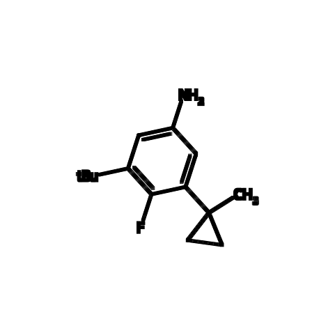 CC(C)(C)c1cc(N)cc(C2(C)CC2)c1F